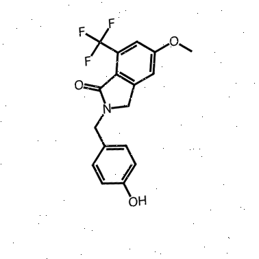 COc1cc2c(c(C(F)(F)F)c1)C(=O)N(Cc1ccc(O)cc1)C2